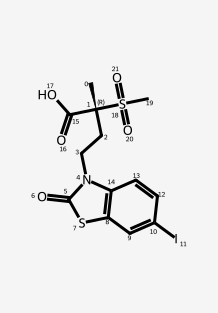 C[C@@](CCn1c(=O)sc2cc(I)ccc21)(C(=O)O)S(C)(=O)=O